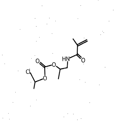 C=C(C)C(=O)NCC(C)OC(=O)OC(C)Cl